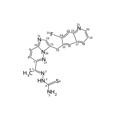 CC(=NNC(N)=S)c1ccc2ncc(Cc3cc4cccnc4cc3F)n2n1